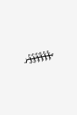 CCC(F)(F)C(F)(F)C(F)(F)C(F)(F)C(F)(F)C(F)(F)F